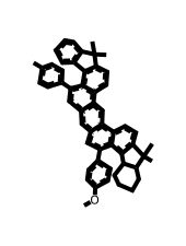 COc1ccc(-c2cc3cc4cc(-c5ccc(C)cc5)c5c6c(ccc5c4cc3c3ccc4c(c23)C2CCCCC2C4(C)C)C(C)(C)c2ccccc2-6)cc1